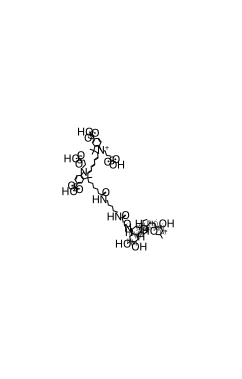 CC(C)[C@H](C)[C@@H](O)[C@H](O)[C@@H](C)[C@H]1CC[C@H]2[C@@H]3CC(=NOCC(=O)NCCCCCNC(=O)CCCCCC4(C)C(=CC=CC=CC5=[N+](CCCS(=O)(=O)O)c6ccc(S(=O)(=O)O)cc6C5(C)C)N(CCCS(=O)(=O)O)c5ccc(S(=O)(=O)O)cc54)[C@H]4C[C@H](O)[C@H](O)C[C@]4(C)[C@H]3CC[C@]12C